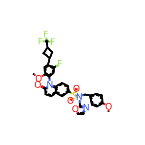 COc1ccc(CN(c2ncco2)S(=O)(=O)c2ccc3c(ccc(=O)n3-c3cc(F)c(C4CC(C(F)(F)F)C4)cc3OC)c2)cc1